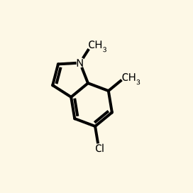 CC1C=C(Cl)C=C2C=CN(C)C21